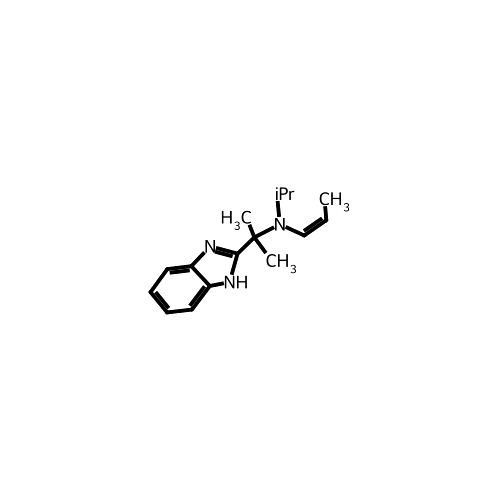 C/C=C\N(C(C)C)C(C)(C)c1nc2ccccc2[nH]1